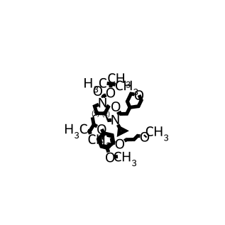 COCCCOc1cc(OC(C[C@@H]2CN(C(=O)OC(C)(C)C)C[C@H]2CN(C(=O)CC2CCOCC2)C2CC2)C(C)C)ccc1OC